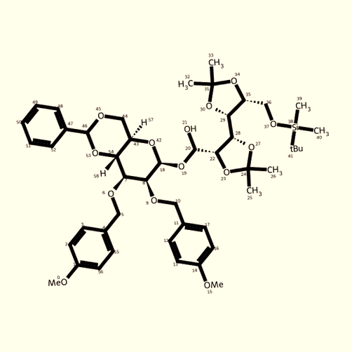 COc1ccc(CO[C@@H]2[C@H](OCc3ccc(OC)cc3)[C@H](OC(O)[C@H]3OC(C)(C)O[C@H]3[C@@H]3OC(C)(C)O[C@@H]3CO[Si](C)(C)C(C)(C)C)O[C@@H]3COC(c4ccccc4)O[C@@H]23)cc1